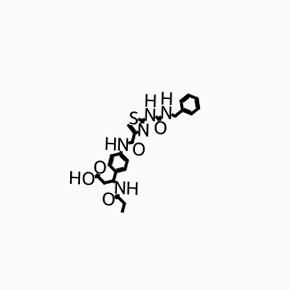 CCC(=O)NC(CC(=O)O)c1ccc(NC(=O)c2csc(NC(=O)NCc3ccccc3)n2)cc1